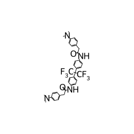 CN(C)c1ccc(CC(=O)Nc2ccc(C(c3ccc(NC(=O)Cc4ccc(N(C)C)cc4)cc3)(C(F)(F)F)C(F)(F)F)cc2)cc1